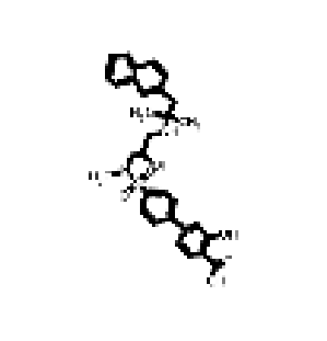 CN(CC(O)CNC(C)(C)Cc1ccc2ccccc2c1)S(=O)(=O)c1ccc(-c2ccc(C(=O)O)c(O)c2)cc1